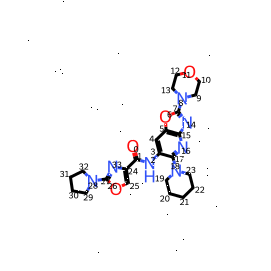 O=C(Nc1cc2oc(N3CCOCC3)nc2nc1N1CCCCC1)c1coc(N2CCCC2)n1